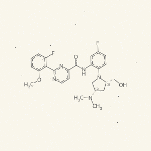 COc1cccc(F)c1-c1nccc(C(=O)Nc2cc(F)ccc2N2C[C@@H](N(C)C)C[C@H]2CO)n1